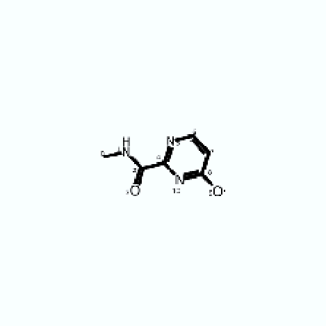 CNC(=O)c1nccc([O])n1